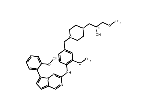 COC[C@H](O)CN1CCN(Cc2ccc(Nc3ncc4ccc(-c5ccccc5OC)n4n3)c(OC)c2)CC1